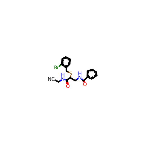 N#CCNC(=O)C(CNC(=O)c1ccccc1)SCc1ccccc1Br